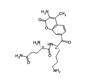 Cc1c(N)c(=O)oc2cc(C(=O)[C@H](CCCCN)NC(=O)[C@@H](N)CCC(N)=O)ccc12